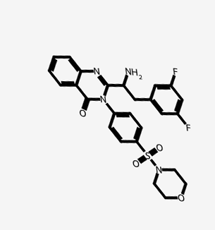 NC(Cc1cc(F)cc(F)c1)c1nc2ccccc2c(=O)n1-c1ccc(S(=O)(=O)N2CCOCC2)cc1